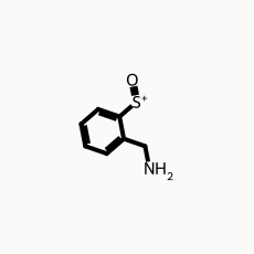 NCc1ccccc1[S+]=O